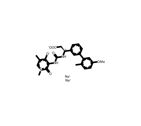 COc1ccc(C)c(-c2cccc([C@H](CC(=O)[O-])NC(=O)Nc3c([O-])c(C)cn(C)c3=O)c2)c1.[Na+].[Na+]